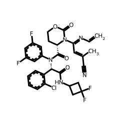 C=C/N=C(\C=C(/C)C#N)N1C(=O)OCC[C@H]1C(=O)N(c1cc(F)cc(F)c1)[C@H](C(=O)NC1CC(F)(F)C1)c1ccccc1Cl